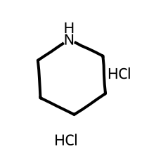 C1CCNCC1.Cl.Cl